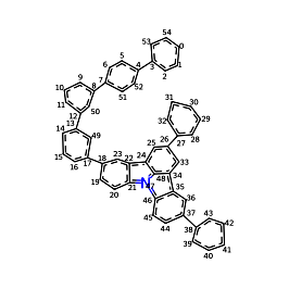 c1ccc(-c2ccc(-c3cccc(-c4cccc(-c5ccc6c(c5)c5cc(-c7ccccc7)cc7c8cc(-c9ccccc9)ccc8n6c75)c4)c3)cc2)cc1